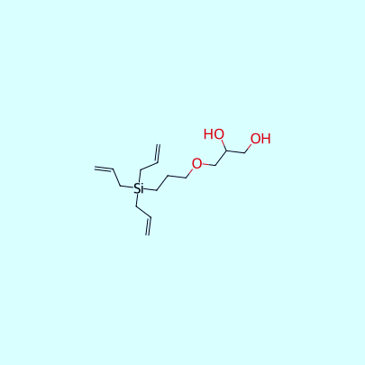 C=CC[Si](CC=C)(CC=C)CCCOCC(O)CO